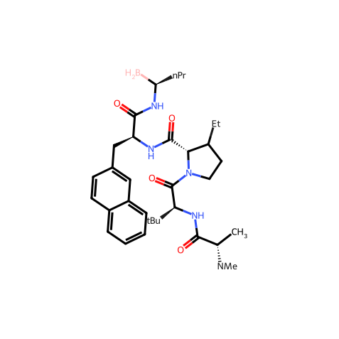 B[C@@H](CCC)NC(=O)[C@H](Cc1ccc2ccccc2c1)NC(=O)[C@@H]1C(CC)CCN1C(=O)[C@@H](NC(=O)[C@H](C)NC)C(C)(C)C